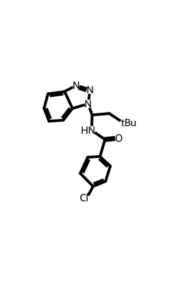 CC(C)(C)CC(NC(=O)c1ccc(Cl)cc1)n1nnc2ccccc21